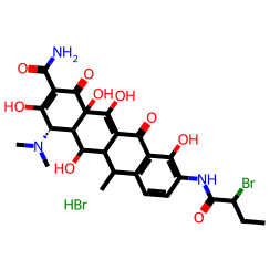 Br.CCC(Br)C(=O)Nc1ccc2c(c1O)C(=O)C1=C(O)C3(O)C(=O)C(C(N)=O)=C(O)[C@@H](N(C)C)C3C(O)C1C2C